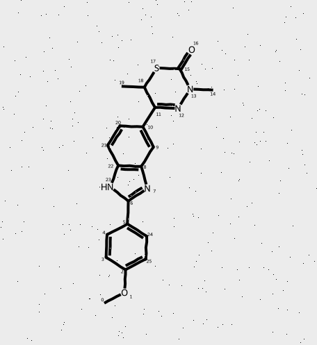 COc1ccc(-c2nc3cc(C4=NN(C)C(=O)SC4C)ccc3[nH]2)cc1